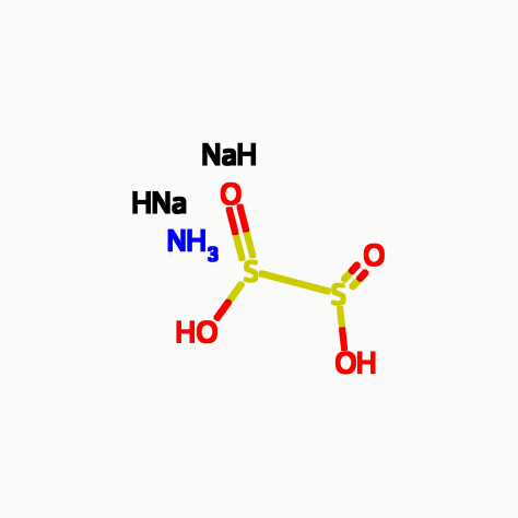 N.O=S(O)S(=O)O.[NaH].[NaH]